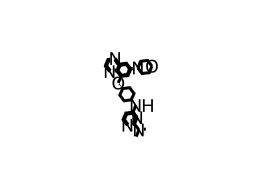 CN(C)c1nccc(N[C@H]2CC[C@@H](Oc3cc(N4CCOCC4)cc4nccnc34)CC2)n1